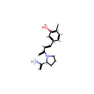 C=C(N)[C@@H]1CCCN1C(=C)/C=C/c1ccc(C)c(O)c1